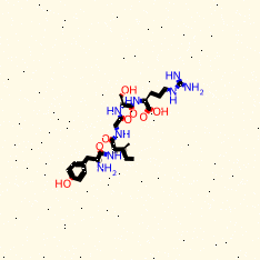 CC[C@H](C)[C@H](NC(=O)[C@@H](N)Cc1ccc(O)cc1)C(=O)NCC(=O)N[C@@H](CO)C(=O)N[C@@H](CCCNC(=N)N)C(=O)O